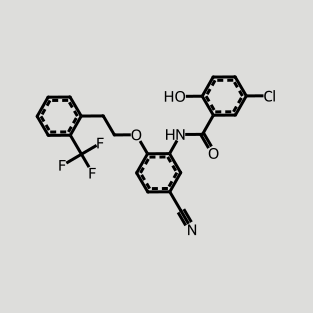 N#Cc1ccc(OCCc2ccccc2C(F)(F)F)c(NC(=O)c2cc(Cl)ccc2O)c1